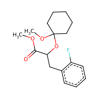 COC(=O)C(Cc1ccccc1F)OC1(OC)CCCCC1